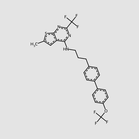 Cc1cc2c(NCCCc3ccc(-c4ccc(OC(F)(F)F)cc4)cc3)nc(C(F)(F)F)nc2s1